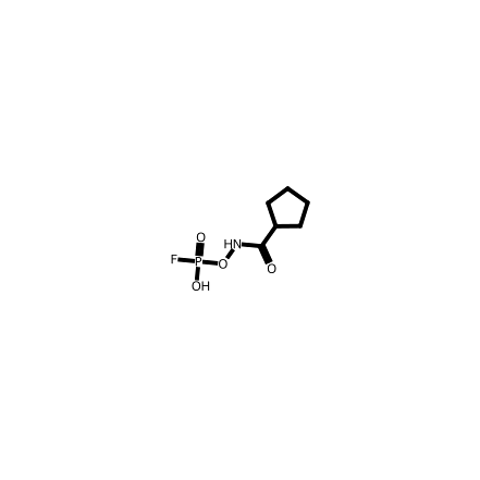 O=C(NOP(=O)(O)F)C1CCCC1